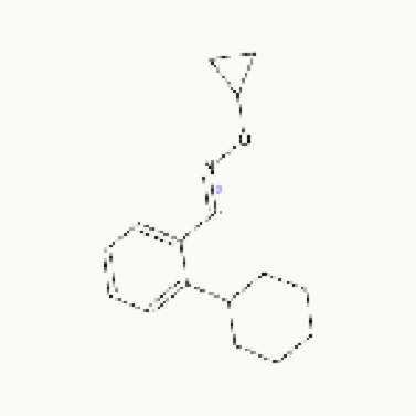 [C](=N\OC1CC1)/c1ccccc1C1CCCCC1